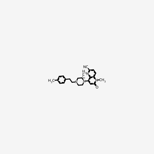 Cc1ccc(CCN2CCN(c3cc(=O)n(C)c4ccc(C#N)nc34)[C@@H](C)C2)cc1